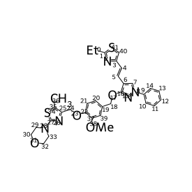 CCc1nc(C=Cc2cn(-c3ccccc3)nc2OCc2ccc(OCc3nc(N4CCOCC4)sc3C)c(OC)c2)cs1